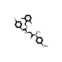 COc1ccc(N(C)C(=O)CNC(=Nc2ccc(F)cc2)SCc2c(F)cccc2F)cc1